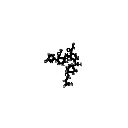 CCC(=O)c1cnc(Nc2cnc(OCCNC)cn2)cc1Nc1cccc(-c2ncn(C)n2)c1OC